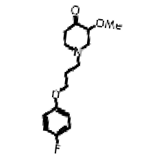 COC1CN(CCCOc2ccc(F)cc2)CCC1=O